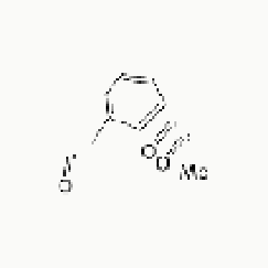 Cc1ccccc1.[C]=O.[C]=O.[C]=O.[Mo]